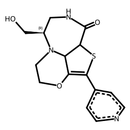 O=C1NC[C@H](CO)N2CCOC3=C(c4ccncc4)SC1C32